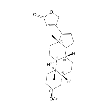 CC(=O)O[C@H]1CC[C@@]2(C)[C@H](CC[C@H]3C4CC=C(C5=CC(=O)OC5)[C@@]4(C)CC[C@@H]32)C1